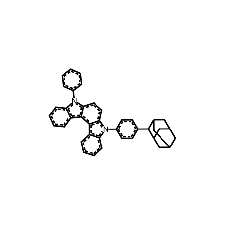 c1ccc(-n2c3ccccc3c3c4c5ccccc5n(-c5ccc(C6C7CC8CC(C7)CC6C8)cc5)c4ccc32)cc1